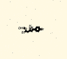 CCC(Cc1cc(-c2ccc(Br)cc2)n[nH]1)OC=O